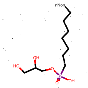 CCCCCCCCCCCCCCCCP(=O)(O)OCC(O)CO